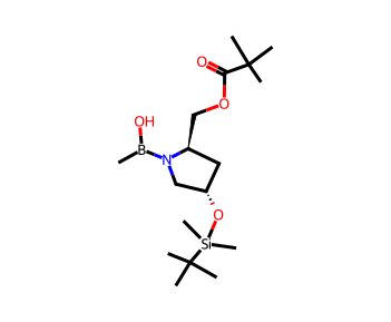 CB(O)N1C[C@@H](O[Si](C)(C)C(C)(C)C)C[C@@H]1COC(=O)C(C)(C)C